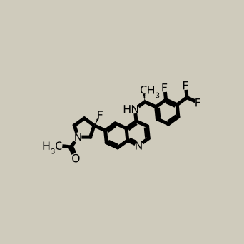 CC(=O)N1CC[C@@](F)(c2ccc3nccc(N[C@H](C)c4cccc(C(F)F)c4F)c3c2)C1